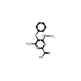 CNc1nc(C(=O)O)nc(C)c1Sc1ccccc1